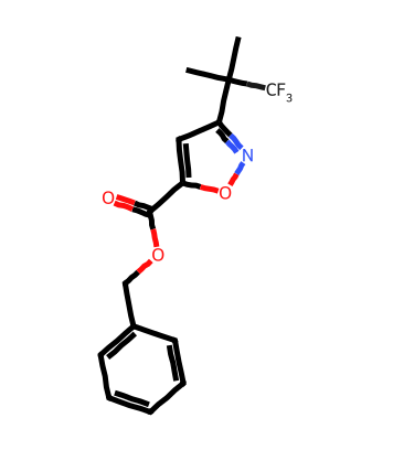 CC(C)(c1cc(C(=O)OCc2ccccc2)on1)C(F)(F)F